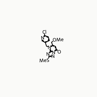 COCc1cc(=O)n2nc(SC)nc2n1Cc1ccc(Cl)nc1